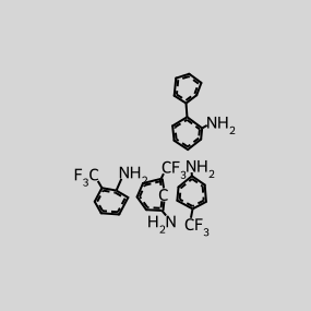 Nc1ccc(C(F)(F)F)cc1.Nc1cccc(C(F)(F)F)c1.Nc1ccccc1-c1ccccc1.Nc1ccccc1C(F)(F)F